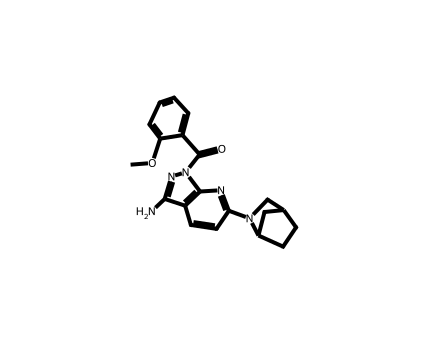 COc1ccccc1C(=O)n1nc(N)c2ccc(N3CC4CCC3C4)nc21